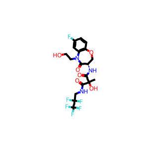 CC(O)(C(=O)NCC(F)(F)C(F)(F)F)C(=O)N[C@H]1COc2ccc(F)cc2N(CCO)C1=O